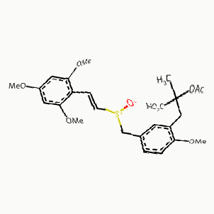 COc1cc(OC)c(/C=C/[S+]([O-])Cc2ccc(OC)c(CC(C)(OC(C)=O)C(=O)O)c2)c(OC)c1